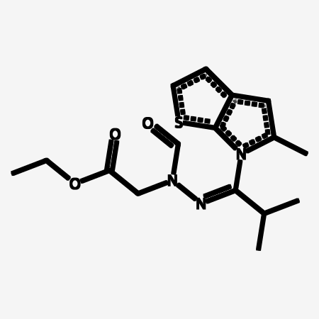 CCOC(=O)CN(C=O)/N=C(/C(C)C)n1c(C)cc2ccsc21